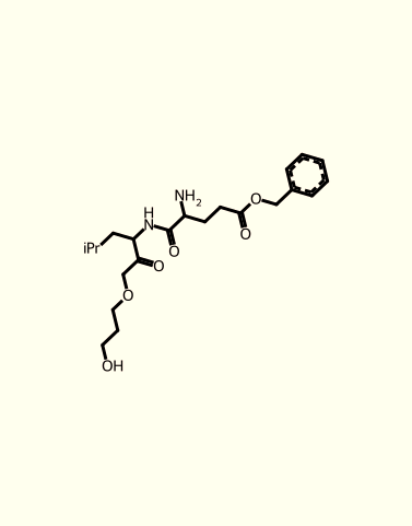 CC(C)CC(NC(=O)C(N)CCC(=O)OCc1ccccc1)C(=O)COCCCO